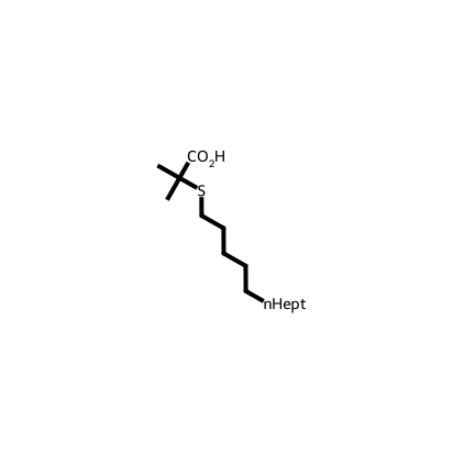 CCCCCCCCCCCCSC(C)(C)C(=O)O